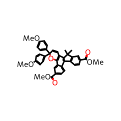 COC(=O)c1ccc2c(c1)C(C)(C)c1c3c(c4cc(C(=O)OC)ccc4c1-2)OC(c1ccc(OC)cc1)(c1ccc(OC)cc1)C=C3